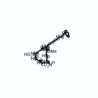 COC(=O)C(CCCCNC(=O)CCCc1ccc(I)cc1)NC(=O)C(CCC(=O)NCCCCCC(=O)N[C@@H](CCC(=O)N[C@H](C)CCCOP(=O)(O)NC(CCC(=O)O)C(=O)O)C(=O)O)NC(=O)CCOCCOCCOCCOCCNC(=O)CCC(=O)N1Cc2ccccc2C#Cc2ccccc21